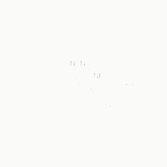 Cc1ccc(-c2nnc(NC(=O)c3cc(Cl)sc3Cl)o2)cc1C